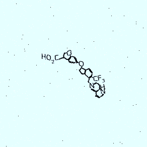 O=C(O)CC1COc2cc(O[C@@H]3CCc4c3ccc(C(F)(F)F)c4CN3C=C4C=CC=N[C@H]4CC3)ccc21